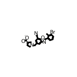 COC(=O)[C@@H]1CCN(Cc2cc(C#N)c3oc(-c4cccc(Br)c4C)nc3c2)C1